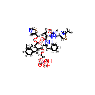 CC(C)c1nc(CN(C)C(=O)N[C@H](C(=O)N[C@@H](Cc2ccccc2)C[C@H](OCCOP(=O)(O)O)[C@H](Cc2ccccc2)[AsH]C(=O)OCc2cncs2)C(C)C)cs1